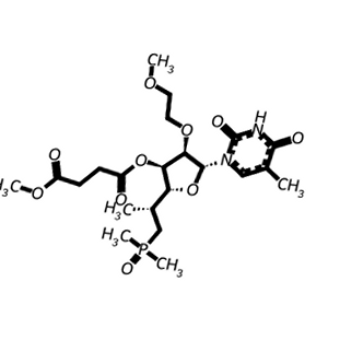 COCCO[C@@H]1[C@H](OC(=O)CCC(=O)OC)[C@@H]([C@@H](C)CP(C)(C)=O)O[C@H]1n1cc(C)c(=O)[nH]c1=O